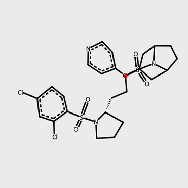 O=S(=O)(CCC[C@@H]1CCCN1S(=O)(=O)c1ccc(Cl)cc1Cl)N1C2CCC1CC(Oc1ccncc1)C2